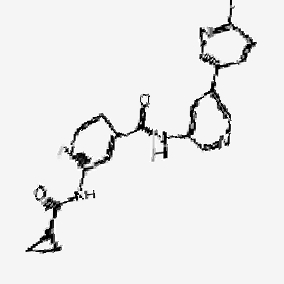 O=C(Nc1cncc(-c2ccc(F)nc2)c1)c1ccnc(NC(=O)C2CC2)c1